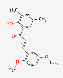 COc1ccc(OC)c(/C=C/C(=O)c2cc(C)cc(C)c2O)c1